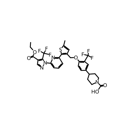 CCOC(=O)c1cnn(-c2cccc(-c3sc(C)cc3COc3ccc(C4CCN(C(=O)O)CC4)cc3C(F)(F)F)n2)c1C(F)(F)F